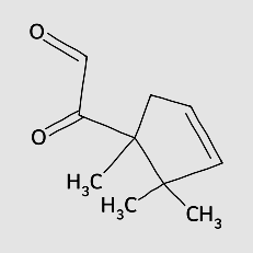 CC1(C)C=CCC1(C)C(=O)C=O